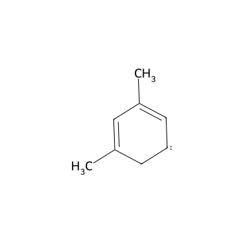 CC1=C[C]CC(C)=C1